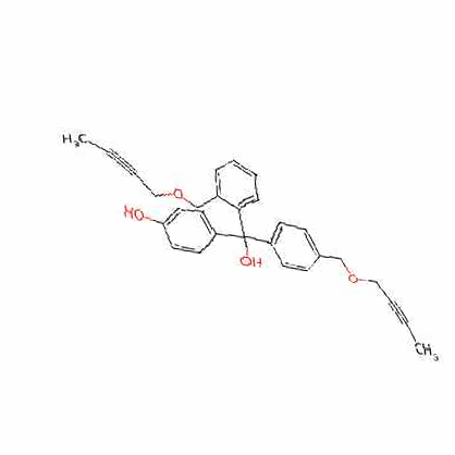 CC#CCOCc1ccc(C(O)(c2ccc(O)cc2)c2ccccc2COCC#CC)cc1